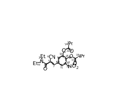 CCN(CC)C(=O)/C(C#N)=C/c1cc(OC(=O)C(C)C)c(OC(=O)C(C)C)c([N+](=O)[O-])c1